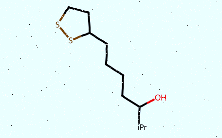 CC(C)C(O)CCCCC1CCSS1